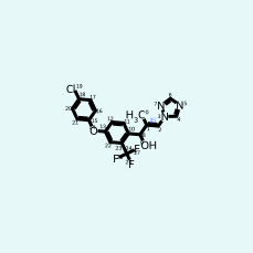 C/C(=C\n1cncn1)C(O)c1ccc(Oc2ccc(Cl)cc2)cc1C(F)(F)F